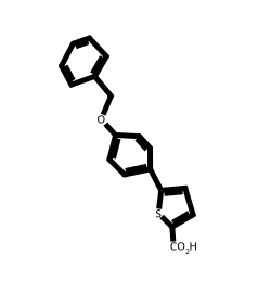 O=C(O)c1ccc(-c2ccc(OCc3ccccc3)cc2)s1